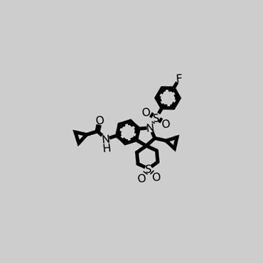 O=C(Nc1ccc2c(c1)C1(CCS(=O)(=O)CC1)C(C1CC1)N2S(=O)(=O)c1ccc(F)cc1)C1CC1